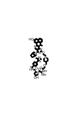 Cc1ncsc1-c1ccc([C@H](C)NC(=O)[C@@H]2C[C@@H](O)CN2C(=O)[C@@H](NC(=O)COCC2CCN(CCOc3nc(N4CC5CCC(C5)C4)c4cnc5c(c4n3)C(C)c3cccc4cc(O)cc-5c34)CC2)C(C)(C)C)cc1